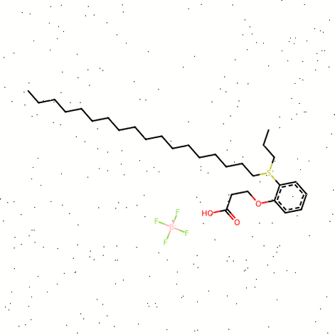 CCCCCCCCCCCCCCCCCC[S+](CCC)c1ccccc1OCCC(=O)O.F[B-](F)(F)F